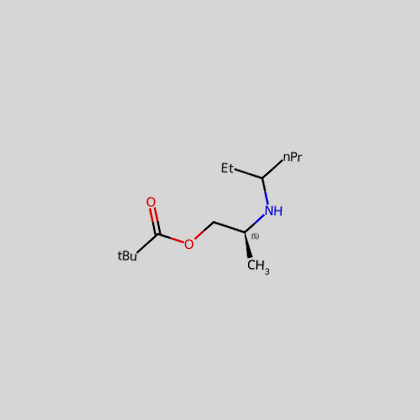 CCCC(CC)N[C@@H](C)COC(=O)C(C)(C)C